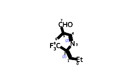 CC/C=C(\N=C/C(C)C=O)C(F)(F)F